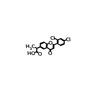 CC(C(=O)O)c1ccc2oc(-c3ccc(Cl)cc3Cl)cc(=O)c2c1